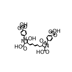 O=C(O)C1=NN(c2ccc(S(=O)(=O)O)cc2)C(=O)C1CC=CC=Cc1c(C(=O)O)nn(-c2ccc(S(=O)(=O)O)cc2)c1O